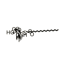 CCCCCCCCCCCCCCCC(=O)OCCSC[C@@H](NC(=O)C(F)(F)F)C(=O)N[C@@H](CO)C(=O)OC